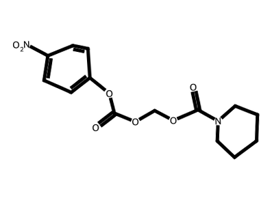 O=C(OCOC(=O)N1CCCCC1)Oc1ccc([N+](=O)[O-])cc1